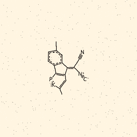 [C-]#[N+]/C(C#N)=C1\C2=C([P]=[K][C](C)=C2)c2ccc(C)cc21